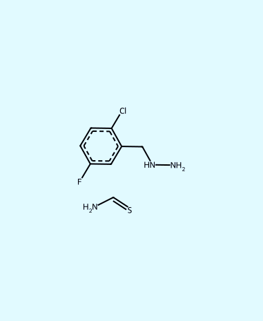 NC=S.NNCc1cc(F)ccc1Cl